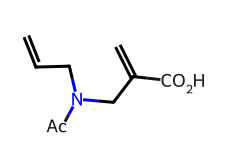 C=CCN(CC(=C)C(=O)O)C(C)=O